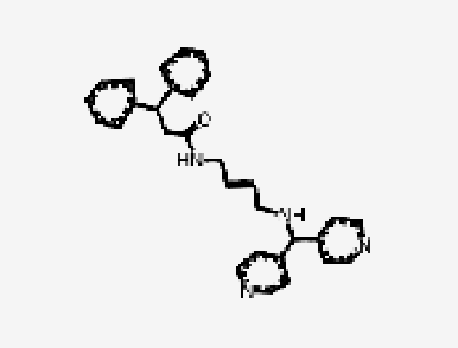 O=C(CC(c1ccccc1)c1ccccc1)NCC=CCNC(c1ccncc1)c1ccncc1